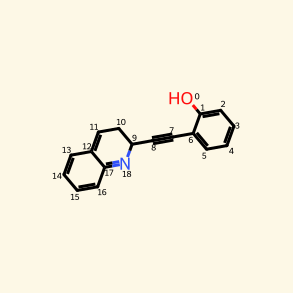 Oc1ccccc1C#CC1CC=c2ccccc2=N1